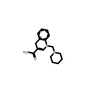 NC(=O)C1=CN(CN2CCCCC2)c2ccccc2C1